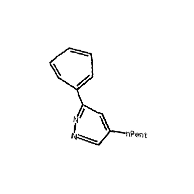 CCCCCc1cnnc(-c2ccccc2)c1